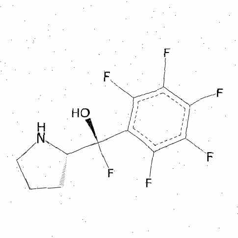 O[C@](F)(c1c(F)c(F)c(F)c(F)c1F)[C@@H]1CCCN1